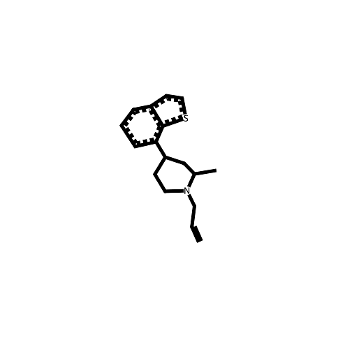 C=CCN1CCC(c2cccc3ccsc23)CC1C